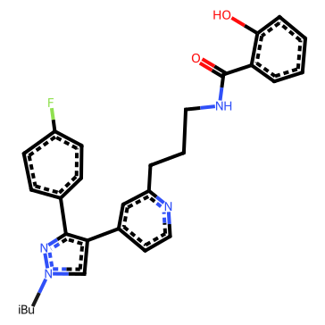 CCC(C)n1cc(-c2ccnc(CCCNC(=O)c3ccccc3O)c2)c(-c2ccc(F)cc2)n1